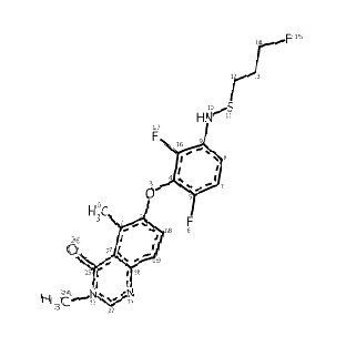 Cc1c(Oc2c(F)ccc(NSCCCF)c2F)ccc2ncn(C)c(=O)c12